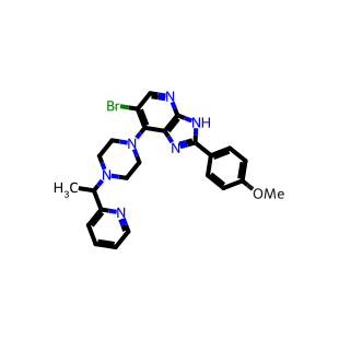 COc1ccc(-c2nc3c(N4CCN(C(C)c5ccccn5)CC4)c(Br)cnc3[nH]2)cc1